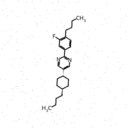 CCCCc1ccc(-c2ncc([C@H]3CC[C@H](CCCC)CC3)cn2)cc1F